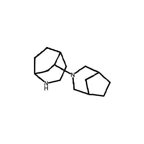 C1CC2CCC(CC2N2CC3CCC(C3)C2)N1